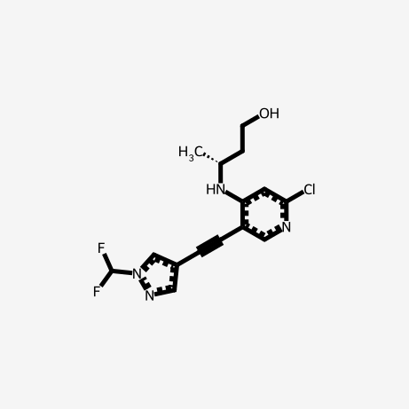 C[C@H](CCO)Nc1cc(Cl)ncc1C#Cc1cnn(C(F)F)c1